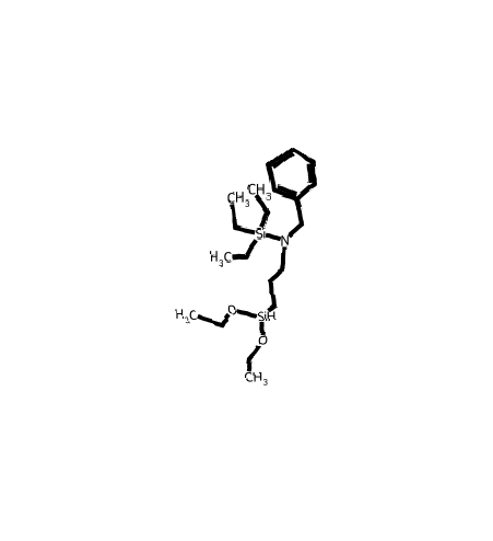 CCO[SiH](CCCN(Cc1ccccc1)[Si](CC)(CC)CC)OCC